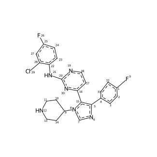 Fc1ccc(-c2ncn(C3CCNCC3)c2-c2ccnc(Nc3ccc(F)cc3Cl)n2)cc1